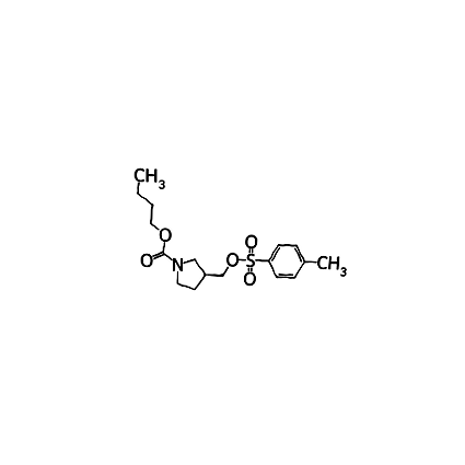 CCCCOC(=O)N1CC[C@H](COS(=O)(=O)c2ccc(C)cc2)C1